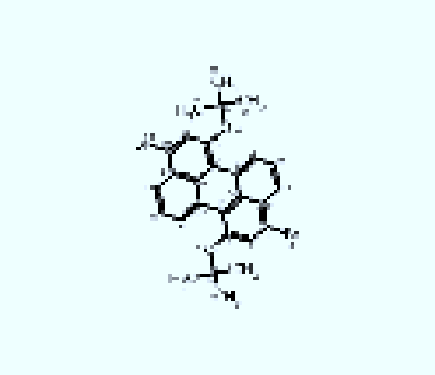 CC(C)(C)Oc1cc(Br)c2cccc3c4c(OC(C)(C)C)cc(Br)c5cccc(c1c23)c54